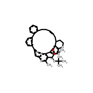 COC(=O)[C@@H](OC(C)(C)C)c1c(C)nc2cc3nn2c1-c1ccc2c(c1)C(CC=CCCc1ccccc1-c1cccc-3c1)CCO2